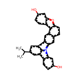 CC(C)c1cc2c3ccc(O)cc3n3c4cc5ccc6oc7cc(O)ccc7c6c5cc4c(c1)c23